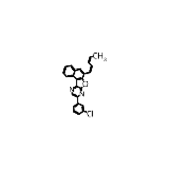 C/C=C\C=C/c1cc2ccccc2c2c1oc1nc(-c3cccc(Cl)c3)cnc12